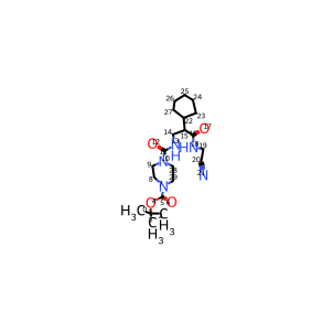 CC(C)(C)OC(=O)N1CCN(C(=O)NCC(C(=O)NCC#N)C2CCCCC2)CC1